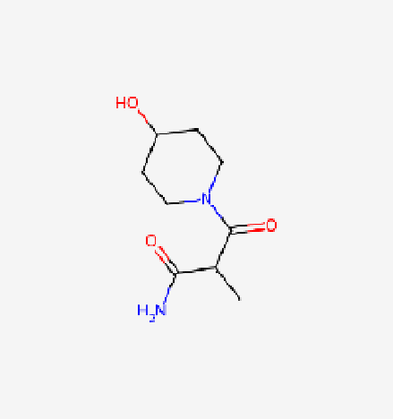 C[C](C(N)=O)C(=O)N1CCC(O)CC1